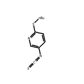 CCCCSc1ccc(N=C=S)cn1